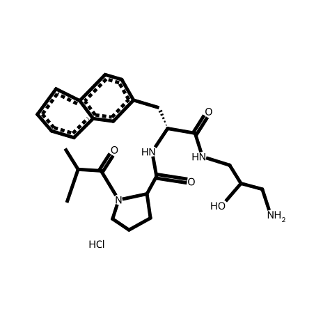 CC(C)C(=O)N1CCCC1C(=O)N[C@H](Cc1ccc2ccccc2c1)C(=O)NCC(O)CN.Cl